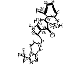 Cn1nc(CN2CCn3c(nnc3C(F)(F)F)C2)c2c(=O)c(O)c(-c3c(F)cccc3F)[nH]c21